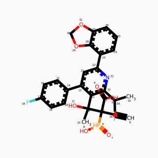 C#CC(C(=O)O)([PH](=O)O)C(C)(O)c1c(-c2ccc(F)cc2)cc(-c2cccc3c2OCO3)nc1C(C)C